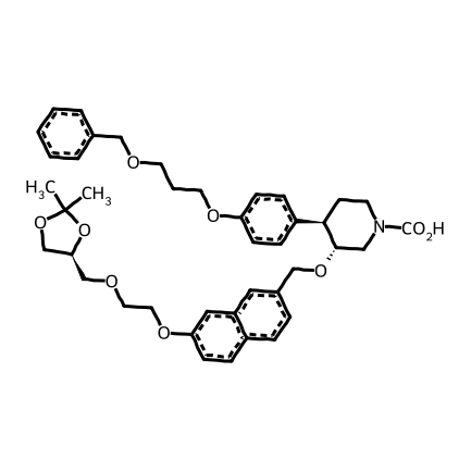 CC1(C)OC[C@H](COCCOc2ccc3ccc(CO[C@H]4CN(C(=O)O)CC[C@@H]4c4ccc(OCCCOCc5ccccc5)cc4)cc3c2)O1